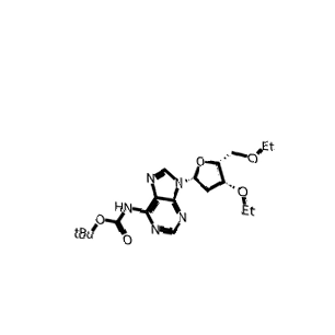 CCOC[C@H]1O[C@@H](n2cnc3c(NC(=O)OC(C)(C)C)ncnc32)C[C@H]1OCC